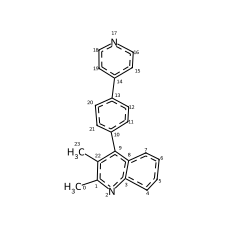 Cc1nc2ccccc2c(-c2ccc(-c3ccncc3)cc2)c1C